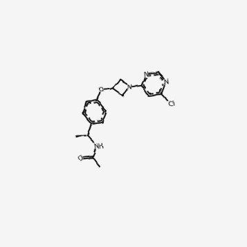 CC(=O)N[C@@H](C)c1ccc(OC2CN(c3cc(Cl)ncn3)C2)cc1